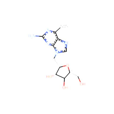 CNc1nc(N)nc2c1ncn2C[C@@H]1O[C@H](CO)C(O)[C@@H]1O